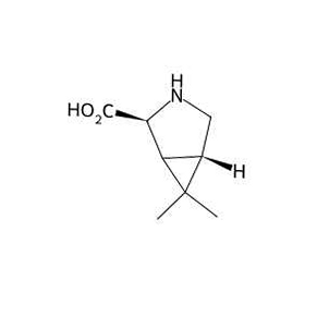 CC1(C)C2[C@@H](C(=O)O)NC[C@@H]21